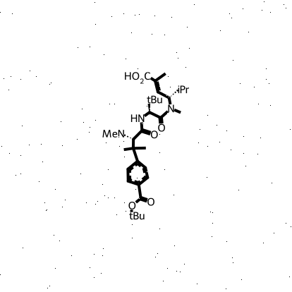 CN[C@H](C(=O)N[C@H](C(=O)N(C)[C@H](/C=C(\C)C(=O)O)C(C)C)C(C)(C)C)C(C)(C)c1ccc(C(=O)OC(C)(C)C)cc1